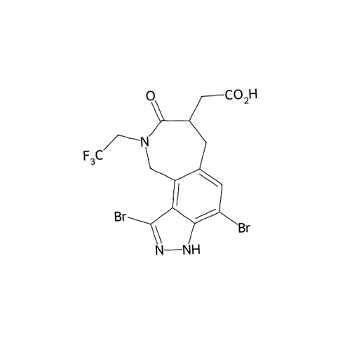 O=C(O)CC1Cc2cc(Br)c3[nH]nc(Br)c3c2CN(CC(F)(F)F)C1=O